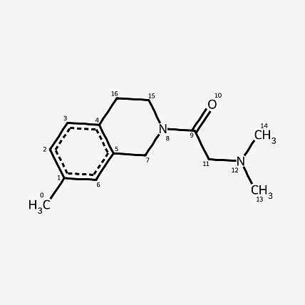 Cc1ccc2c(c1)CN(C(=O)CN(C)C)CC2